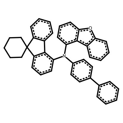 c1ccc(-c2ccc(N(c3cccc4c3-c3ccccc3C43CCCCC3)c3cccc4oc5ccccc5c34)cc2)cc1